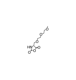 COCCOCCOCC1NC(=O)OC1=O